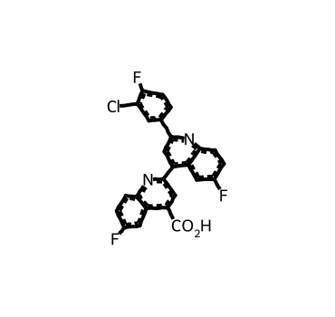 O=C(O)c1cc(-c2cc(-c3ccc(F)c(Cl)c3)nc3ccc(F)cc23)nc2ccc(F)cc12